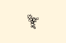 C[C@@H]1COCCN1c1nc(Cl)nc2c(C=S(=O)=O)csc12